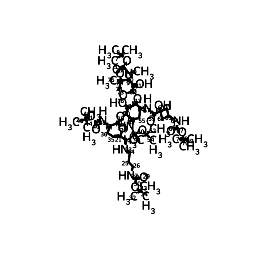 CN(C(=O)OC(C)(C)C)[C@@H]1[C@@H](O)[C@@H](O[C@@H]2[C@@H](O)[C@H](O[C@H]3OC(CNCCCNC(=O)OC(C)(C)C)=CC[C@H]3NC(=O)OC(C)(C)C)[C@@H](NC(=O)OC(C)(C)C)C[C@H]2NC(=O)C2(O)CC(NC(=O)OC(C)(C)C)C2)OC[C@]1(C)O